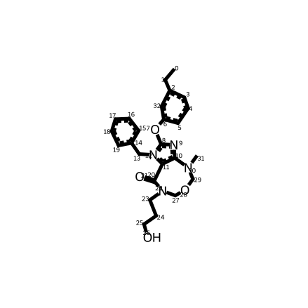 CCc1cccc(Oc2nc3c(n2Cc2ccccc2)C(=O)N(CCCO)COCN3C)c1